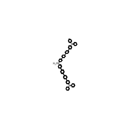 CN(c1ccc(-c2ccc(-c3ccc(-c4ccc(N(c5ccccc5)c5ccccc5)cc4)cc3)cc2)cc1)c1ccc(-c2ccc(-c3ccc(-c4ccc(N(c5ccccc5)c5ccccc5)cc4)cc3)cc2)cc1